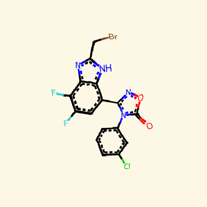 O=c1onc(-c2cc(F)c(F)c3nc(CBr)[nH]c23)n1-c1cccc(Cl)c1